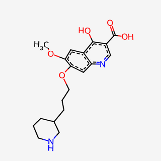 COc1cc2c(O)c(C(=O)O)cnc2cc1OCCCC1CCCNC1